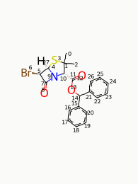 CC1(C)S[C@@H]2[C@H](Br)C(=O)N2[C@H]1C(=O)OC(c1ccccc1)c1ccccc1